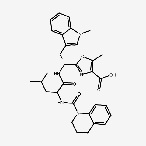 Cc1oc([C@@H](Cc2cn(C)c3ccccc23)NC(=O)C(CC(C)C)NC(=O)N2CCCc3ccccc32)nc1C(=O)O